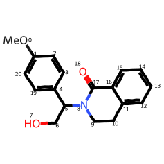 COc1ccc(C(CO)N2CCc3ccccc3C2=O)cc1